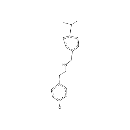 CC(C)c1ccc(CNCCc2ccc(Cl)cc2)cc1